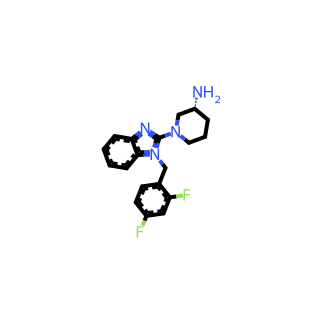 N[C@@H]1CCCN(c2nc3ccccc3n2Cc2ccc(F)cc2F)C1